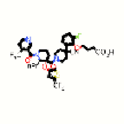 CCC[C@H]1N(C(=O)c2cnccc2C(F)(F)F)CCC[C@@]1(Oc1csc(C(F)(F)F)c1)C(=O)N1CCC(C#N)(c2cccc(F)c2OCCCC(=O)O)CC1